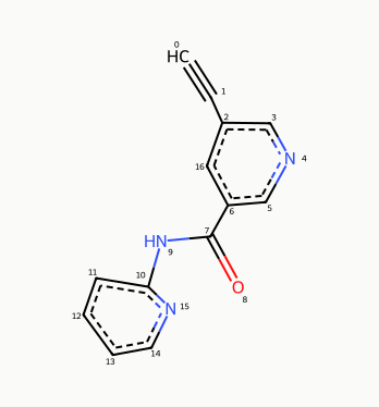 C#Cc1cncc(C(=O)Nc2ccccn2)c1